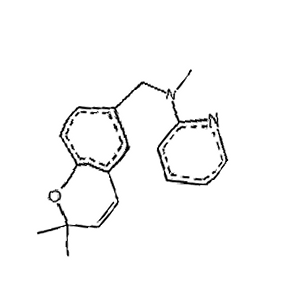 CN(Cc1ccc2c(c1)C=CC(C)(C)O2)c1ccccn1